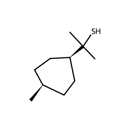 CC(C)(S)[C@H]1CC[C@@H](C)CC1